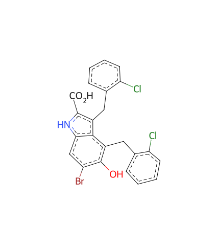 O=C(O)c1[nH]c2cc(Br)c(O)c(Cc3ccccc3Cl)c2c1Cc1ccccc1Cl